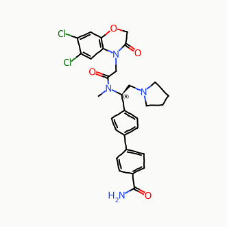 CN(C(=O)CN1C(=O)COc2cc(Cl)c(Cl)cc21)[C@@H](CN1CCCC1)c1ccc(-c2ccc(C(N)=O)cc2)cc1